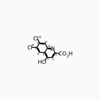 O=C(O)c1cc(O)c2cc(Cl)c(Cl)cc2n1